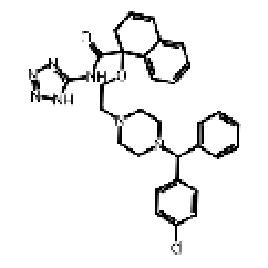 O=C(Nc1nnn[nH]1)C1(OCCN2CCN(C(c3ccccc3)c3ccc(Cl)cc3)CC2)CC=Cc2ccccc21